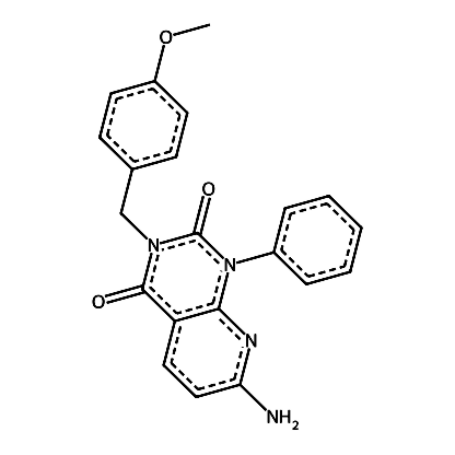 COc1ccc(Cn2c(=O)c3ccc(N)nc3n(-c3ccccc3)c2=O)cc1